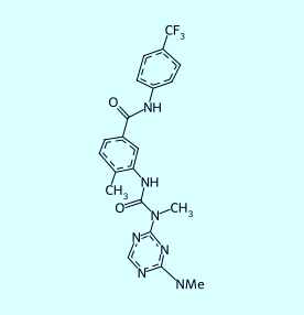 CNc1ncnc(N(C)C(=O)Nc2cc(C(=O)Nc3ccc(C(F)(F)F)cc3)ccc2C)n1